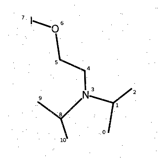 CC(C)N(CCOI)C(C)C